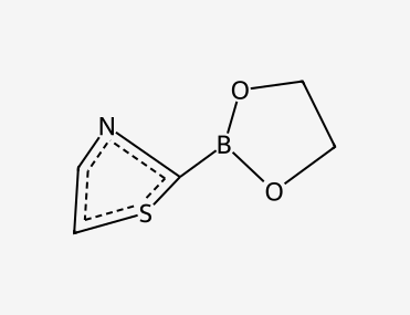 c1csc(B2OCCO2)n1